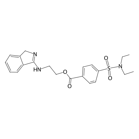 CCN(CC)S(=O)(=O)c1ccc(C(=O)OCCNC2=NCc3ccccc32)cc1